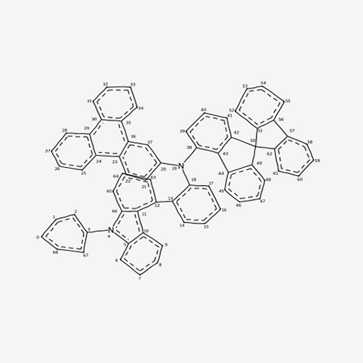 c1ccc(-n2c3ccccc3c3c(-c4ccccc4N(c4ccc5c6ccccc6c6ccccc6c5c4)c4cccc5c4-c4ccccc4C54c5ccccc5-c5ccccc54)cccc32)cc1